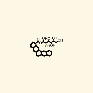 O=C(OC(=O)[C@@H](O)[C@@H](O)[C@H](O)[C@H](O)CO)c1cccc2cc3ccc4cc5ccccc5cc4c3cc12